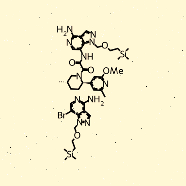 COc1cc([C@H]2CC[C@H](C)CN2C(=O)C(=O)Nc2cnc(N)c3cnn(COCC[Si](C)(C)C)c23)cc(C)n1.C[Si](C)(C)CCOCn1ncc2c(N)ncc(Br)c21